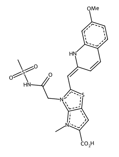 COc1ccc2c(c1)N/C(=C/c1sc3cc(C(=O)O)n(C)c3[n+]1CC(=O)NS(C)(=O)=O)C=C2